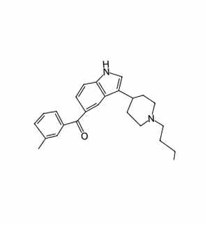 CCCCN1CCC(c2c[nH]c3ccc(C(=O)c4cccc(C)c4)cc23)CC1